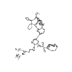 CN(C)CCOc1ncc(-c2ccc3ncc4c(c3c2)C2(CCCC2)C(=O)N4C)cc1NS(=O)(=O)c1ccccc1